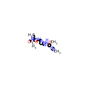 CCc1nn(C2COC2)c(CC)c1NC(=O)c1ccn2c1CCc1cnc(Nc3ccc(N4CCN(C)CC4)cc3OC)nc1-2